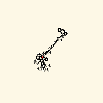 CC[N+]1=c2cc3c(cc2C(C)CC1(C)C)=C(c1ccccc1C(=O)N(C)CC(=O)NCCOCCOCCOCCNC(=O)CCC(=O)N1Cc2ccccc2/C=C\c2ccccc21)c1cc2c4c(c1C3(C)C)CCCN4CCC2